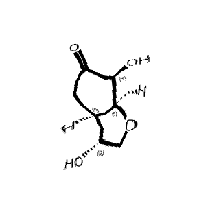 O=C1C[C@H]2[C@H](OC[C@@H]2O)[C@@H]1O